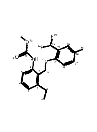 CCc1cccc(NC(=O)OC)c1COc1ccc(C)cc1C(F)F